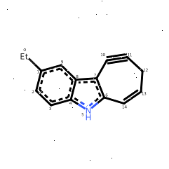 CCc1ccc2[nH]c3c(c2c1)C#CCC=C3